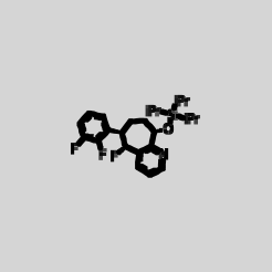 CC(C)[Si](O[C@H]1CC[C@H](c2cccc(F)c2F)[C@H](F)c2cccnc21)(C(C)C)C(C)C